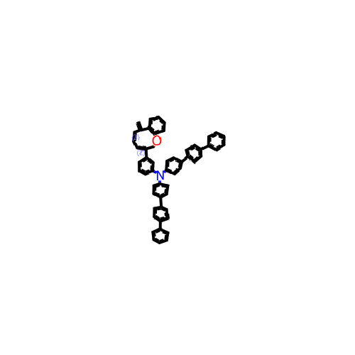 C=C1/C=C\C=C(\c2cccc(N(c3ccc(-c4ccc(-c5ccccc5)cc4)cc3)c3ccc(-c4ccc(-c5ccccc5)cc4)cc3)c2)COc2ccccc21